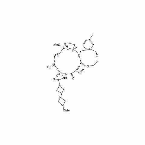 COC1CN(C2CN(C(=O)NS3(=O)=NC(=O)c4ccc5c(c4)N(Cc4ccc(Cl)cc4CCCCO5)C[C@@H]4CC[C@H]4[C@@H](OC)/C=C/C[C@H](C)C3)C2)C1